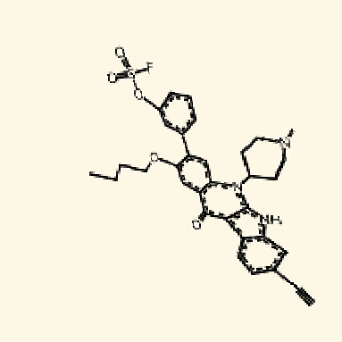 C#Cc1ccc2c(c1)[nH]c1c2c(=O)c2cc(OCCCC)c(-c3cccc(OS(=O)(=O)F)c3)cc2n1C1CCN(C)CC1